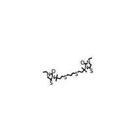 CCN1CC(=S)N(C(C)(C)CCSCCCSCCC(C)(C)N2C(=O)N(CC)CC2=S)C1=O